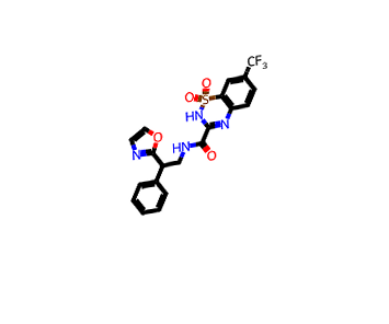 O=C(NCC(c1ccccc1)c1ncco1)C1=Nc2ccc(C(F)(F)F)cc2S(=O)(=O)N1